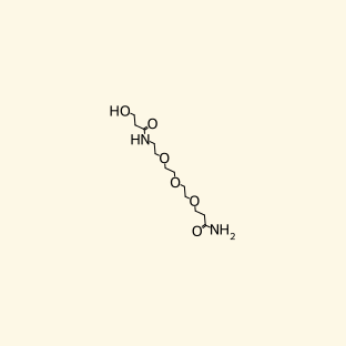 NC(=O)CCOCCOCCOCCNC(=O)CCO